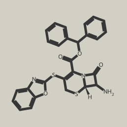 NC1C(=O)N2C(C(=O)OC(c3ccccc3)c3ccccc3)=C(Sc3nc4ccccc4o3)CS[C@@H]12